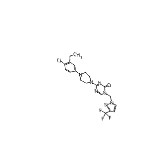 CCc1cc(N2CCN(c3ncn(Cn4ccc(C(F)(F)F)n4)c(=O)n3)CC2)ccc1Cl